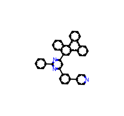 c1ccc(-c2nc(-c3cccc(-c4ccncc4)c3)cc(-c3cc4c5ccccc5c5ccccc5c4c4ccccc34)n2)cc1